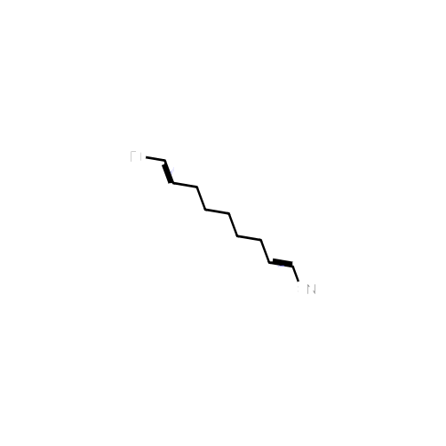 CC/C=C/CCCCC/C=C/C#N